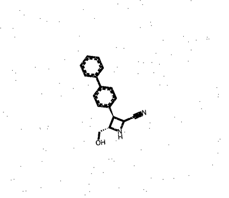 N#CC1N[C@H](CO)[C@H]1c1ccc(-c2ccccc2)cc1